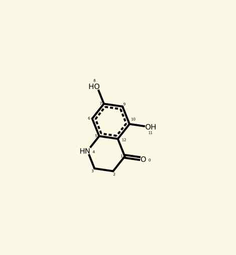 O=C1CCNc2cc(O)cc(O)c21